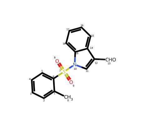 Cc1ccccc1S(=O)(=O)n1cc(C=O)c2ccccc21